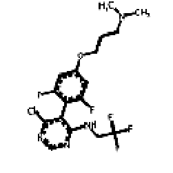 CN(C)CCCOc1cc(F)c(-c2c(Cl)n[c]nc2NCC(F)(F)F)c(F)c1